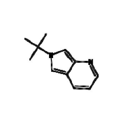 CC(C)(C)n1cc2cccnc2c1